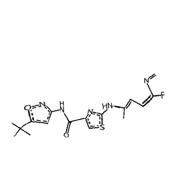 C=N/C(F)=C\C=C(/C)Nc1nc(C(=O)Nc2cc(C(C)(C)C)on2)cs1